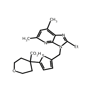 CCc1nc2c(C)cc(C)nc2n1Cc1ccc(C2(C(=O)O)CCOCC2)s1